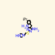 CC(C)c1ccc(Cc2c(N)nc(SCCN3CCNCC3)nc2N)cc1